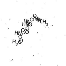 COc1ccc2[nH]cc(C=C3Oc4ccc(NC(=O)Nc5ccc(C(=O)N6CCN(C)CC6)cc5)cc4C3=O)c2c1